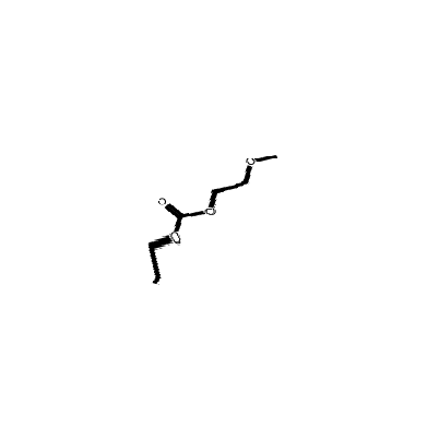 [CH2]COC(=O)OCCOC